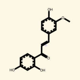 COc1cc(/C=C/C(=O)c2ccc(O)cc2O)ccc1O